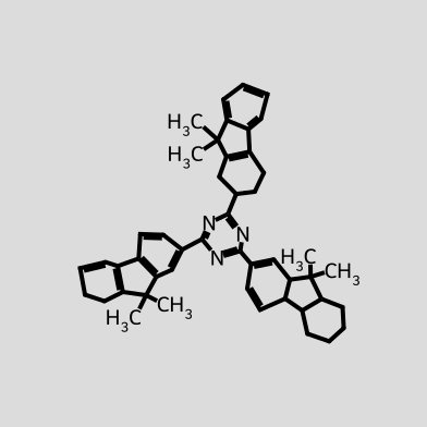 CC1(C)C2=C(C=CCC2)c2ccc(-c3nc(C4=CC5C(C=C4)C4CCCCC4C5(C)C)nc(C4CCC5=C(C4)C(C)(C)c4ccccc45)n3)cc21